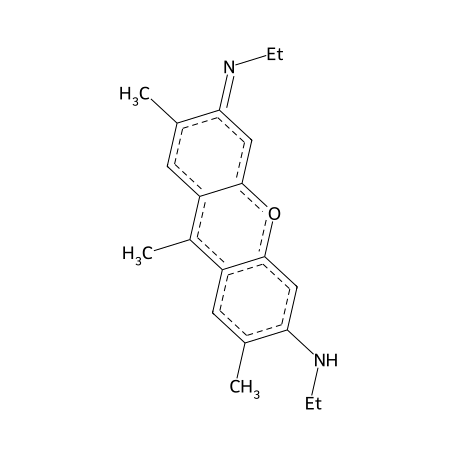 CC/N=c1\cc2oc3cc(NCC)c(C)cc3c(C)c-2cc1C